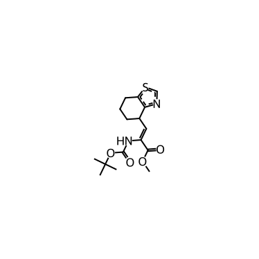 COC(=O)C(=CC1CCCc2scnc21)NC(=O)OC(C)(C)C